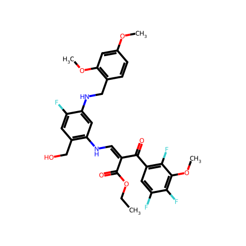 CCOC(=O)C(=CNc1cc(NCc2ccc(OC)cc2OC)c(F)cc1CO)C(=O)c1cc(F)c(F)c(OC)c1F